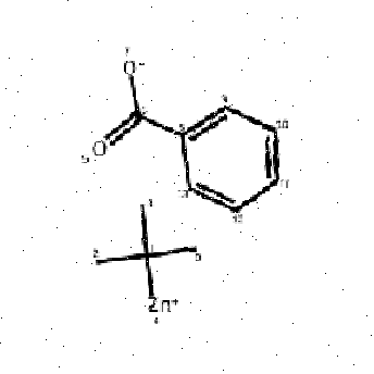 C[C](C)(C)[Zn+].O=C([O-])c1ccccc1